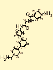 NCC1CC=C(c2cccc(-c3csc(NC(=O)CNC(=O)c4ccc(N)cc4)n3)c2)CC1